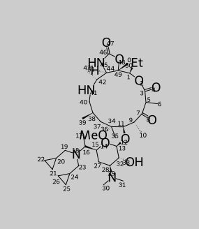 CC[C@H]1OC(=O)C(C)C(=O)[C@H](C)[C@@H](O[C@@H]2O[C@H](C(C)N(CC3CC3)CC3CC3)C[C@H](N(C)C)[C@H]2O)[C@](C)(OC)C[C@@H](C)CN[C@H](C)[C@H]2NC(=O)O[C@@]21C